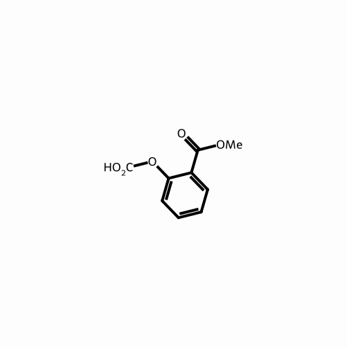 COC(=O)c1ccccc1OC(=O)O